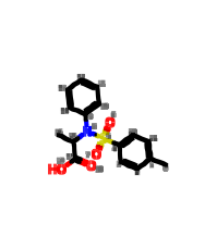 Cc1ccc(S(=O)(=O)N(c2ccccc2)C(C)C(=O)O)cc1